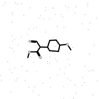 COC(=O)C(C=O)C1CCC(OC)CC1